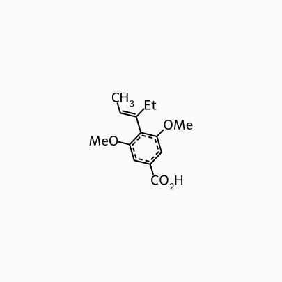 CC=C(CC)c1c(OC)cc(C(=O)O)cc1OC